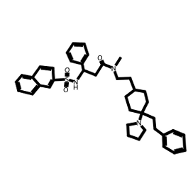 CN(CCC1CCC(CCc2ccccc2)(N2CCCC2)CC1)C(=O)CC(NS(=O)(=O)c1ccc2ccccc2c1)c1ccccc1